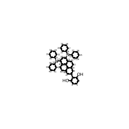 Oc1cccc(O)c1-c1cc2ccc3c(N(c4ccccc4)c4ccccc4)cc(N(c4ccccc4)c4ccccc4)c4ccc(c1)c2c34